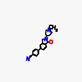 CN1CCC(N2Cc3cc(-c4ccc(C#N)cc4)ccc3C2=O)CC1